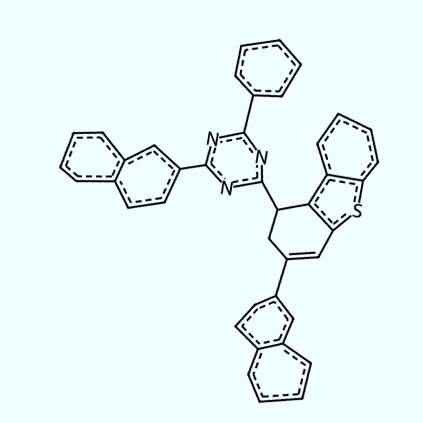 C1=C(c2ccc3ccccc3c2)CC(c2nc(-c3ccccc3)nc(-c3ccc4ccccc4c3)n2)c2c1sc1ccccc21